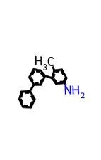 Cc1ccc(N)cc1-c1cccc(-c2ccccc2)c1